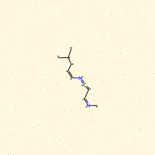 C/N=C\C=C=N/C=C\CC(C)C